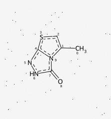 Cc1csc2n[nH]c(=O)n12